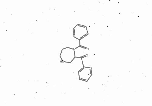 O=C(c1ccccn1)C1CNCCCN1C(=O)c1ccccn1